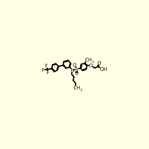 CCCCCN(c1cccc(-c2ccc(C(F)(F)F)cc2)c1)S(=O)(=O)c1ccc(OCC(=O)O)c(C)c1